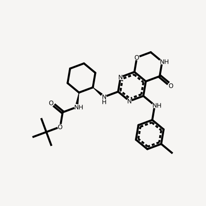 Cc1cccc(Nc2nc(N[C@@H]3CCCC[C@@H]3NC(=O)OC(C)(C)C)nc3c2C(=O)NCO3)c1